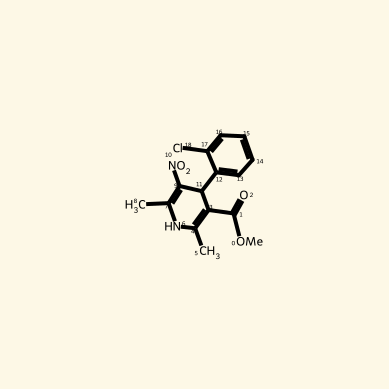 COC(=O)C1=C(C)NC(C)=C([N+](=O)[O-])C1c1ccccc1Cl